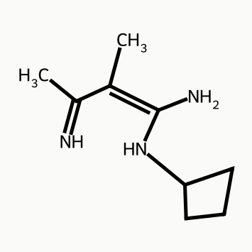 CC(=N)/C(C)=C(/N)NC1CCC1